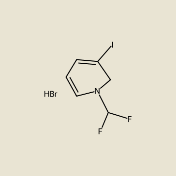 Br.FC(F)N1C=CC=C(I)C1